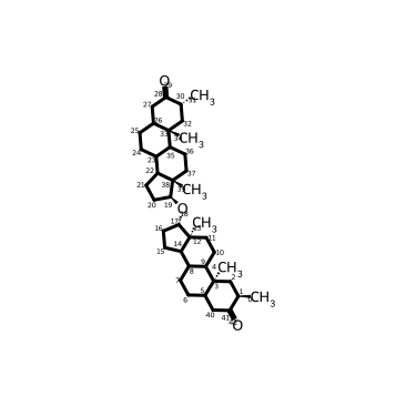 C[C@@H]1C[C@@]2(C)C(CCC3C2CC[C@@]2(C)C3CC[C@@H]2O[C@H]2CCC3C4CCC5CC(=O)[C@H](C)C[C@]5(C)C4CC[C@@]32C)CC1=O